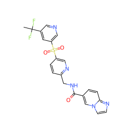 CC(F)(F)c1cncc(S(=O)(=O)c2ccc(CNC(=O)c3ccc4nccn4c3)nc2)c1